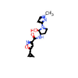 Cn1ccc(N2CCC(NC(=O)c3cc(C4CC4)on3)C2O)n1